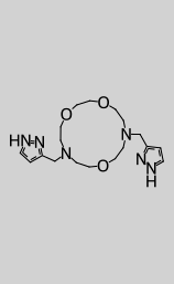 c1cc(CN2CCOCCOCCN(Cc3cc[nH]n3)CCOCC2)n[nH]1